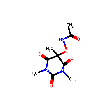 CC(=O)NOC1(C)C(=O)N(C)C(=O)N(C)C1=O